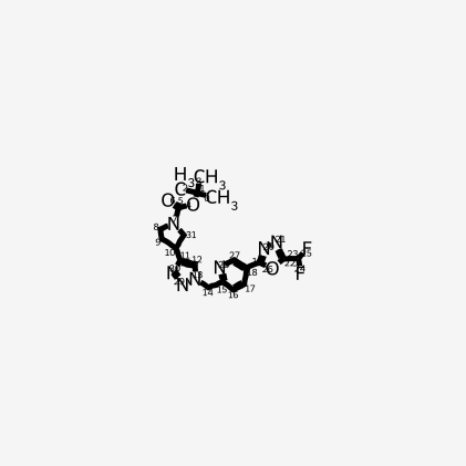 CC(C)(C)OC(=O)N1CCC(c2cn(Cc3ccc(-c4nnc(C(F)F)o4)cn3)nn2)C1